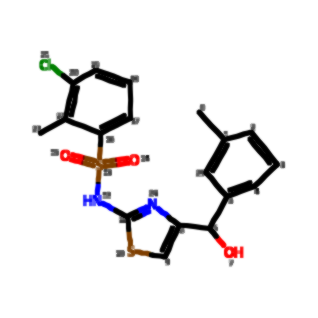 Cc1cccc(C(O)c2csc(NS(=O)(=O)c3cccc(Cl)c3C)n2)c1